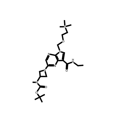 CCNC(=O)c1cn(COCCS(C)(C)C)c2ncc(N3CC(N(C)C(=O)OC(C)(C)C)C3)nc12